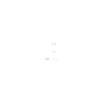 [Cu].[Hf].[Nb].[Zr]